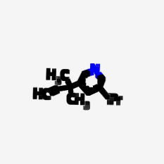 C#CC(C)(C)c1cncc(C(C)C)c1